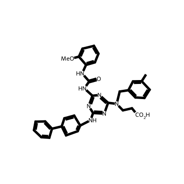 COc1ccccc1NC(=O)Nc1nc(Nc2ccc(-c3ccccc3)cc2)nc(N(CCC(=O)O)Cc2cccc(C)c2)n1